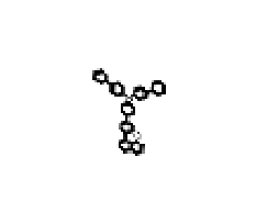 c1ccc(-c2ccc(N(c3ccc(-c4ccccc4)cc3)C3CCC(c4ccc5c(c4)Oc4cccc6cccc-5c46)CC3)cc2)cc1